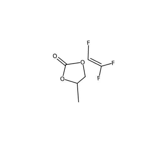 CC1COC(=O)O1.FC=C(F)F